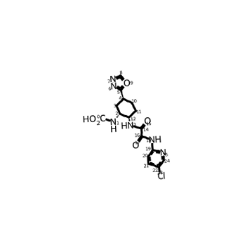 O=C(O)N[C@@H]1C[C@@H](c2nnco2)CC[C@@H]1NC(=O)C(=O)Nc1ccc(Cl)cn1